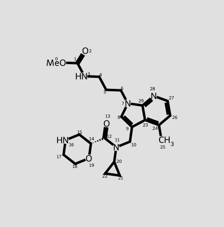 COC(=O)NCCCn1cc(CN(C(=O)[C@H]2CNCCO2)C2CC2)c2c(C)ccnc21